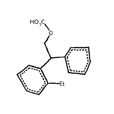 CCc1ccccc1C(COC(=O)O)c1ccccc1